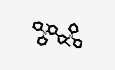 Cc1ccc(-c2ccc(C)c(N(c3ccccc3)c3ccccc3)c2)cc1N(c1ccccc1)c1ccccc1